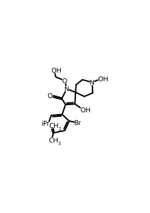 C=C(C)/C=C(Br)\C(=C/C(C)C)C1=C(O)C2(CCN(O)CC2)N(OCO)C1=O